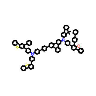 CC1(C)c2ccccc2-c2ccc(N(c3ccc(-c4ccc5c(oc6ccccc65)c4-c4ccc(-c5ccccc5)cc4)cc3)c3ccc4c5ccc(-c6ccc(-c7ccc(N(c8ccc(-c9cc%10sc%11ccccc%11c%10cc9-c9ccccc9)cc8)c8ccc(-c9cccc%10c9sc9ccccc9%10)cc8)cc7)cc6)cc5c5ccccc5c4c3)cc21